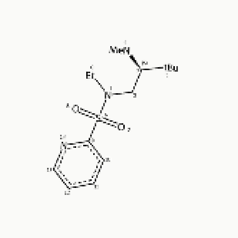 CCN(C[C@@H](NC)C(C)(C)C)S(=O)(=O)c1ccccn1